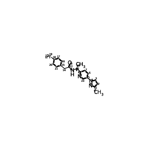 Cc1ccn(-c2ccc([C@@H](C)NC(=O)Cc3ccc(C(C)C)cc3)nc2)n1